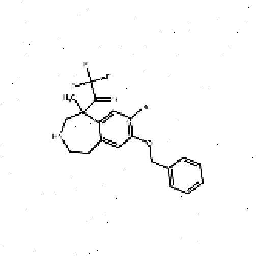 CC1(C(=O)C(F)(F)F)CNCCc2cc(OCc3ccccc3)c(Br)cc21